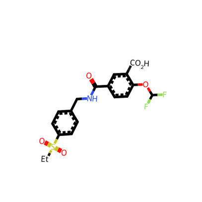 CCS(=O)(=O)c1ccc(CNC(=O)c2ccc(OC(F)F)c(C(=O)O)c2)cc1